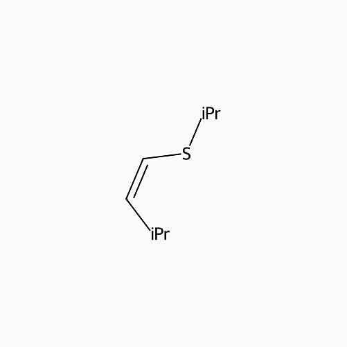 CC(C)/C=C\SC(C)C